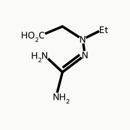 CCN(CC(=O)O)N=C(N)N